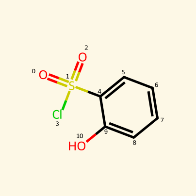 O=S(=O)(Cl)c1ccccc1O